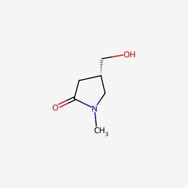 CN1C[C@@H](CO)CC1=O